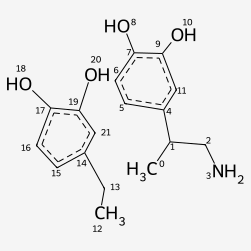 CC(CN)c1ccc(O)c(O)c1.CCc1ccc(O)c(O)c1